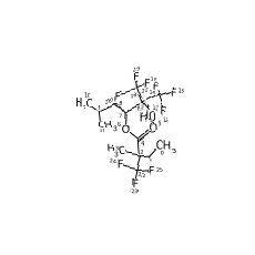 CCC(C)(C(=O)OC(CC(C)C)C(O)(C(F)(F)F)C(F)(F)F)C(F)(F)F